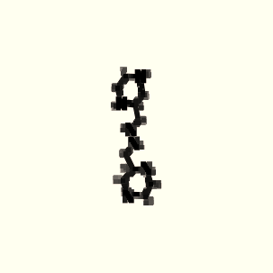 C(=NN=Cc1cnccn1)c1cnccn1